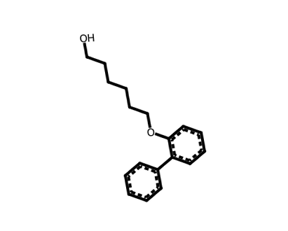 OCCCCCCOc1ccccc1-c1ccccc1